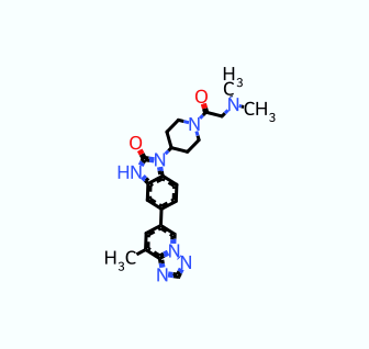 Cc1cc(-c2ccc3c(c2)[nH]c(=O)n3C2CCN(C(=O)CN(C)C)CC2)cn2ncnc12